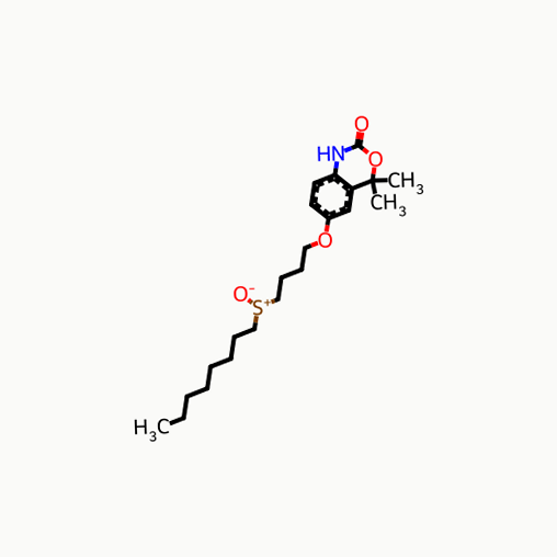 CCCCCCCC[S+]([O-])CCCCOc1ccc2c(c1)C(C)(C)OC(=O)N2